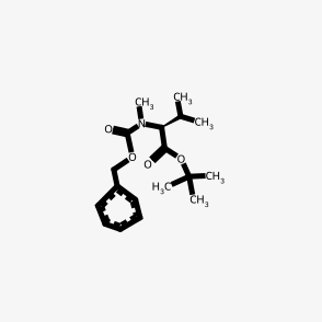 CC(C)[C@@H](C(=O)OC(C)(C)C)N(C)C(=O)OCc1ccccc1